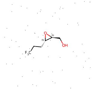 OC[C@@H]1O[C@H]1CCC(F)(F)F